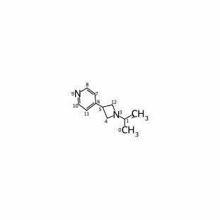 CC(C)N1CC(c2ccncc2)C1